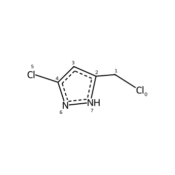 ClCc1cc(Cl)n[nH]1